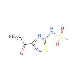 CCOC(=O)C(=O)c1csc(NS(C)(=O)=O)n1